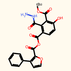 CC(C)(C)OC(=O)c1c(O)ccc(C(=O)OC(=O)c2occc2-c2ccccc2)c1C(=O)NN